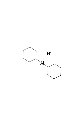 C1CC[CH]([Al+][CH]2CCCCC2)CC1.[H-]